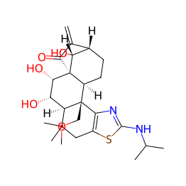 C=C1C(=O)[C@]23[C@H](O)[C@H]1CC[C@H]2[C@]1(COC)c2nc(NC(C)C)sc2CC(C)(C)[C@H]1[C@H](O)[C@@H]3O